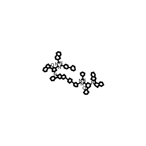 c1ccc(-c2ccc(-c3nc(-c4ccc5ccccc5c4)nc(-c4cc(-n5c6ccccc6c6cc7cc(-c8ccc(-c9cccc(-c%10nc(-c%11ccccc%11)nc(-c%11cc(-n%12c%13cc%14ccccc%14cc%13c%13c%14ccccc%14ccc%13%12)cc%12c%11oc%11ccccc%11%12)n%10)c9)cc8)ccc7cc65)cc5c4oc4ccc6ccccc6c45)n3)cc2)cc1